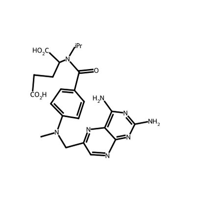 CC(C)N(C(=O)c1ccc(N(C)Cc2cnc3nc(N)nc(N)c3n2)cc1)C(CCC(=O)O)C(=O)O